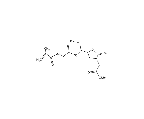 C=C(C)C(=O)OCC(=O)OC(CC(C)C)C1CC(CC(=O)OC)C(=O)O1